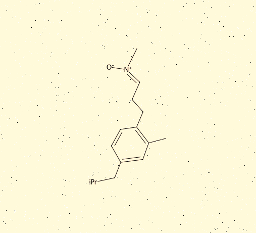 Cc1cc(CC(C)C)ccc1CCC=[N+](C)[O-]